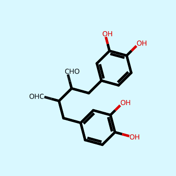 O=CC(Cc1ccc(O)c(O)c1)C(C=O)Cc1ccc(O)c(O)c1